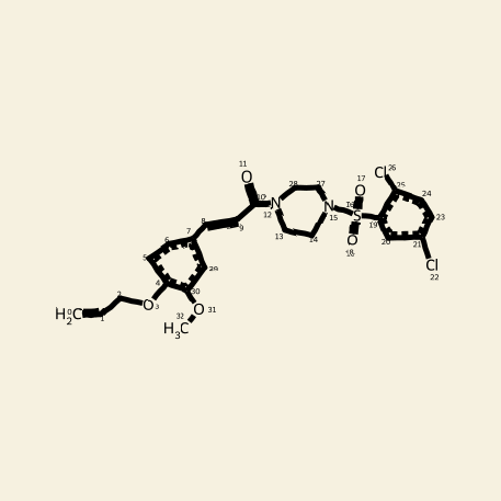 C=CCOc1ccc(/C=C/C(=O)N2CCN(S(=O)(=O)c3cc(Cl)ccc3Cl)CC2)cc1OC